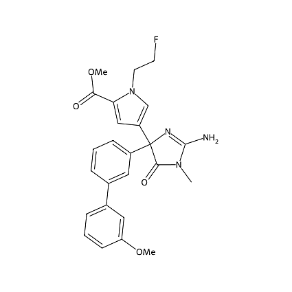 COC(=O)c1cc(C2(c3cccc(-c4cccc(OC)c4)c3)N=C(N)N(C)C2=O)cn1CCF